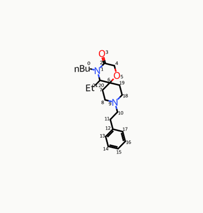 CCCCN1C(=O)COC2(CCN(CCc3ccccc3)CC2)C1CC